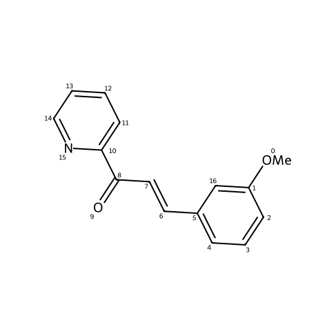 COc1cccc(C=CC(=O)c2ccccn2)c1